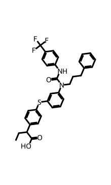 CCC(C(=O)O)c1ccc(Sc2cccc(N(CCCc3ccccc3)C(=O)Nc3ccc(C(F)(F)F)cc3)c2)cc1